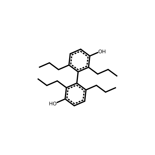 CCCc1ccc(O)c(CCC)c1-c1c(CCC)ccc(O)c1CCC